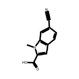 Cn1c(C(=O)O)cc2ccc(C#N)cc21